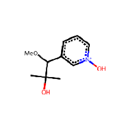 COC(c1ccc[n+](O)c1)C(C)(C)O